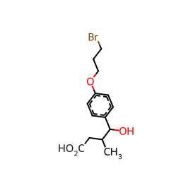 CC(CC(=O)O)C(O)c1ccc(OCCCBr)cc1